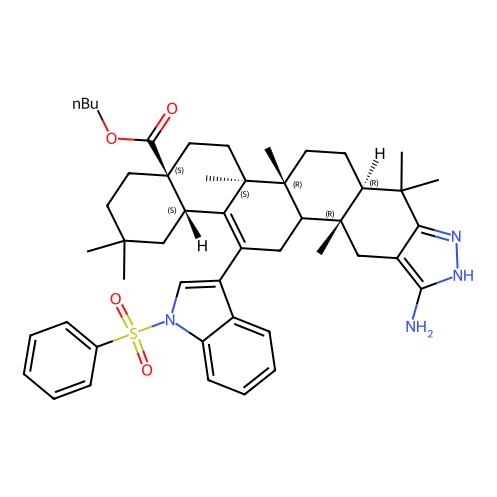 CCCCOC(=O)[C@]12CCC(C)(C)C[C@H]1C1=C(c3cn(S(=O)(=O)c4ccccc4)c4ccccc34)CC3[C@@]4(C)Cc5c(n[nH]c5N)C(C)(C)[C@@H]4CC[C@@]3(C)[C@]1(C)CC2